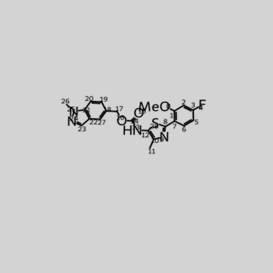 COc1cc(F)ccc1-c1nc(C)c(NC(=O)OCc2ccc3c(cnn3C)c2)s1